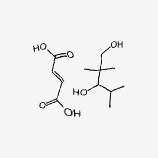 CC(C)C(O)C(C)(C)CO.O=C(O)C=CC(=O)O